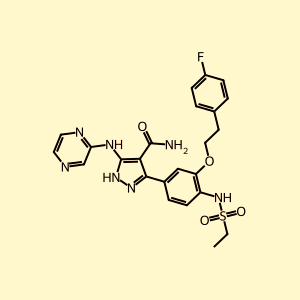 CCS(=O)(=O)Nc1ccc(-c2n[nH]c(Nc3cnccn3)c2C(N)=O)cc1OCCc1ccc(F)cc1